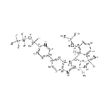 CC(C)(O[Si](C)(C)C(C)(C)C)c1ncc(-c2ccc3nc4n(c3c2)[C@@H]2C[C@H]4N=S(C)(=O)c3cccc(OC(F)F)c32)cn1